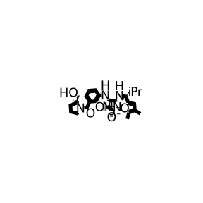 Cc1cc([C@H](Nc2n[s+]([O-])nc2Nc2cccc(C(=O)N3CCC[C@H]3CO)c2O)C(C)C)oc1C